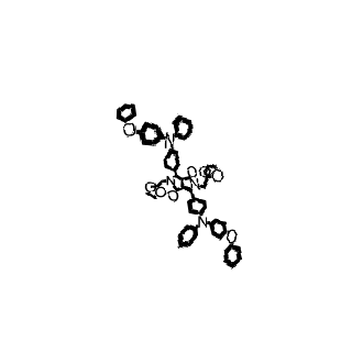 O=C1C2=C(c3ccc(N(c4ccccc4)c4ccc(Oc5ccccc5)cc4)cc3)N(CC3OCCO3)C(=O)C2=C(c2ccc(N(c3ccccc3)c3ccc(Oc4ccccc4)cc3)cc2)N1CC1OCCO1